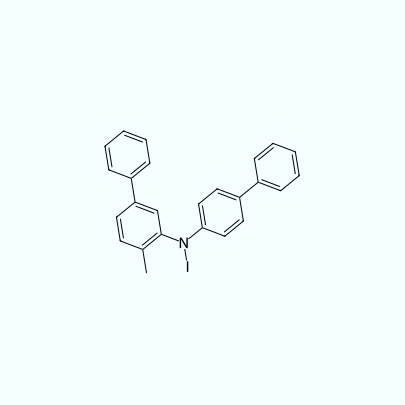 Cc1ccc(-c2ccccc2)cc1N(I)c1ccc(-c2ccccc2)cc1